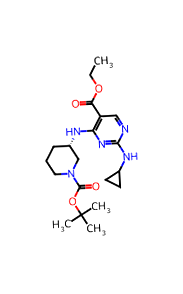 CCOC(=O)c1cnc(NC2CC2)nc1N[C@H]1CCCN(C(=O)OC(C)(C)C)C1